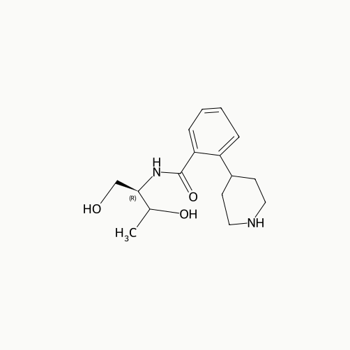 CC(O)[C@@H](CO)NC(=O)c1ccccc1C1CCNCC1